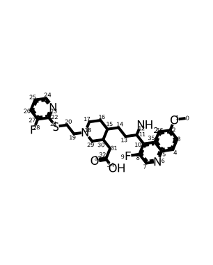 COc1ccc2ncc(F)c(C(N)CCC3CCN(CCSc4ncccc4F)CC3CC(=O)O)c2c1